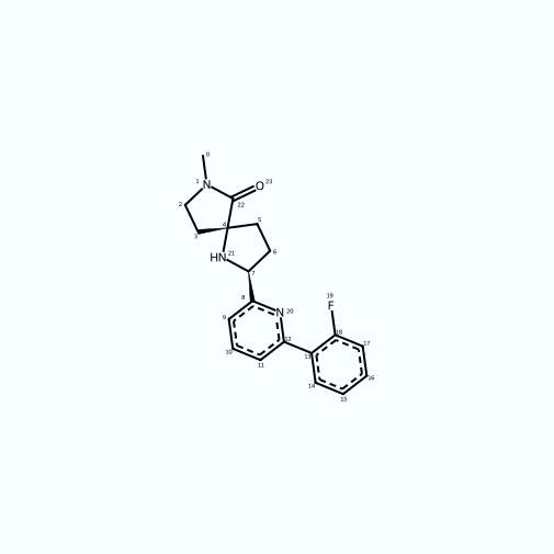 CN1CC[C@]2(CC[C@@H](c3cccc(-c4ccccc4F)n3)N2)C1=O